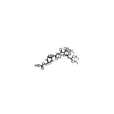 CC(C)CC(=O)NC(C(=O)NCC(=O)Nc1ccc(COC(=O)O)cc1)C(C)C